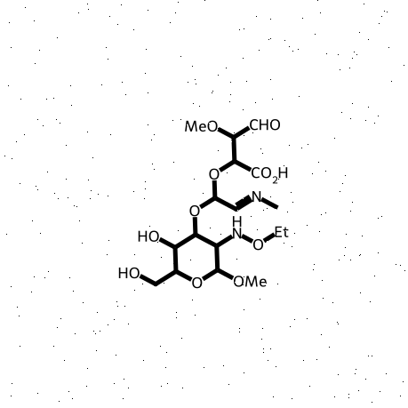 CCONC1C(OC)OC(CO)C(O)C1OC(/C=N/C)OC(C(=O)O)C(C=O)OC